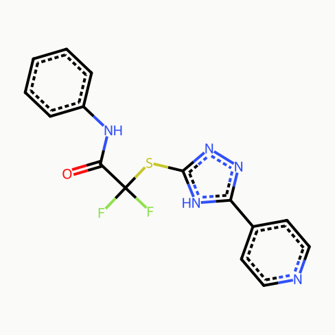 O=C(Nc1ccccc1)C(F)(F)Sc1nnc(-c2ccncc2)[nH]1